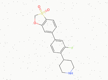 O=S1(=O)COc2cc(-c3ccc(C4CCNCC4)c(F)c3)ccc21